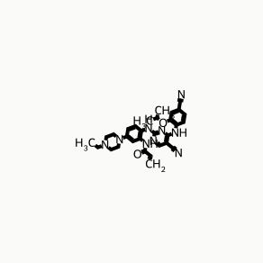 C=CC(=O)Nc1cc(N2CCN(CC)CC2)ccc1Nc1ncc(C#N)c(Nc2ccc(C#N)cc2OC(C)C)n1